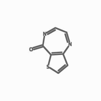 O=c1nccnc2ccsc12